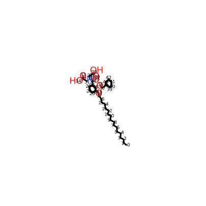 CCCCCCCCCCCCCCCCCCOc1cccc(C(=O)N(CC(=O)O)CC(=O)O)c1OCc1ccccc1